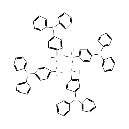 C[Si]1(c2ccc(P(c3ccccc3)c3ccccc3)cc2)O[Si](C)(c2ccc(P(c3ccccc3)c3ccccc3)cc2)O[Si](C)(c2ccc(P(c3ccccc3)c3ccccc3)cc2)O[Si](C)(c2ccc(P(c3ccccc3)c3ccccc3)cc2)O1